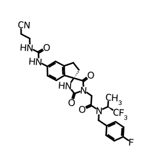 C[C@H](N(Cc1ccc(F)cc1)C(=O)CN1C(=O)N[C@]2(CCc3cc(NC(=O)NCCC#N)ccc32)C1=O)C(F)(F)F